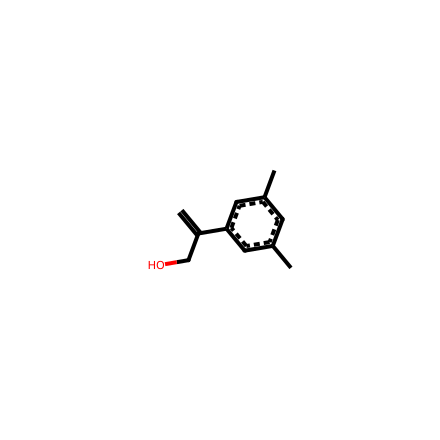 C=C(CO)c1cc(C)cc(C)c1